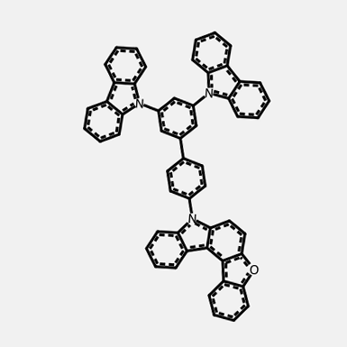 c1ccc2c(c1)oc1ccc3c(c4ccccc4n3-c3ccc(-c4cc(-n5c6ccccc6c6ccccc65)cc(-n5c6ccccc6c6ccccc65)c4)cc3)c12